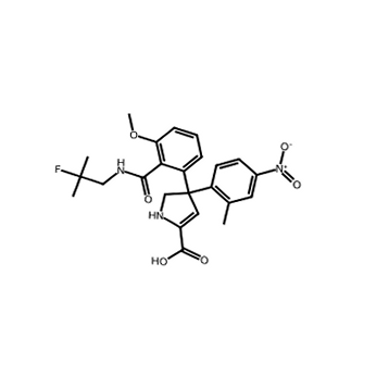 COc1cccc(C2(c3ccc([N+](=O)[O-])cc3C)C=C(C(=O)O)NC2)c1C(=O)NCC(C)(C)F